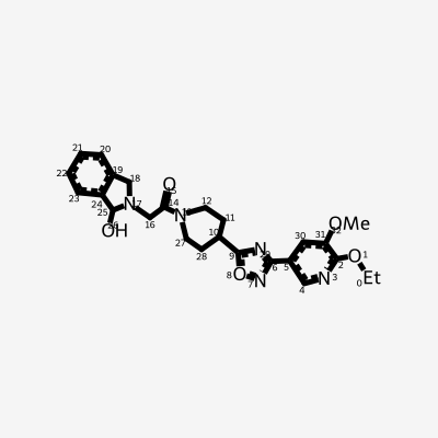 CCOc1ncc(-c2noc(C3CCN(C(=O)CN4Cc5ccccc5C4O)CC3)n2)cc1OC